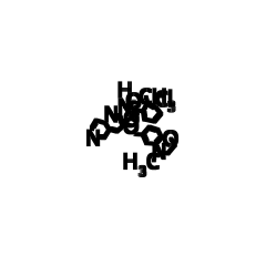 Cc1c(Cl)cccc1S(=O)(=O)Nc1nc2ccncc2cc1OCc1ccc2c(c1)N(C)CCO2